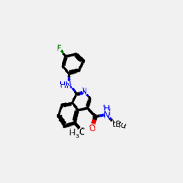 Cc1cccc2c(Nc3cccc(F)c3)ncc(C(=O)NC(C)(C)C)c12